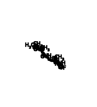 CNc1nc(Nc2cccc(F)c2)ncc1C#CCCCNC(=O)CC[C@@H](CNC(=O)OC(C)(C)C)OC